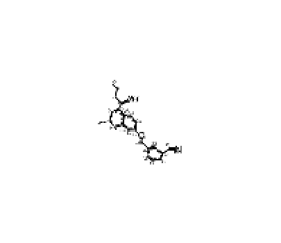 CCCC(=N)c1cc(C)nc2cc(OCc3cccc(C#N)c3)ccc12